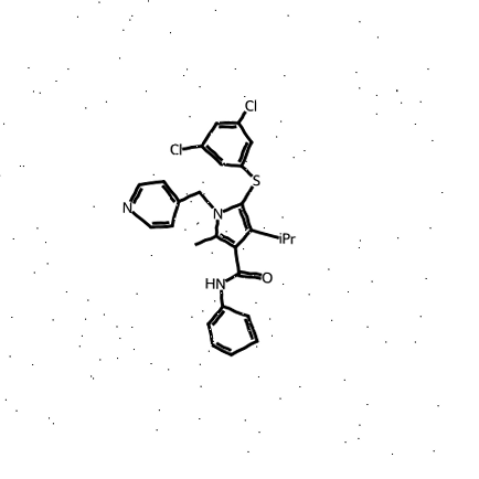 Cc1c(C(=O)Nc2ccccc2)c(C(C)C)c(Sc2cc(Cl)cc(Cl)c2)n1Cc1ccncc1